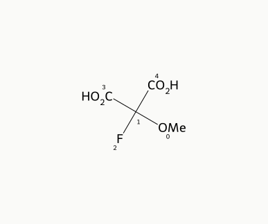 COC(F)(C(=O)O)C(=O)O